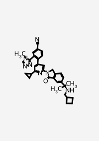 Cn1cnnc1-c1cc(C#N)ccc1-c1cc(C2CC2)nc(N2Cc3ccc(C(C)(C)NCC4CCC4)cc3C2=O)c1